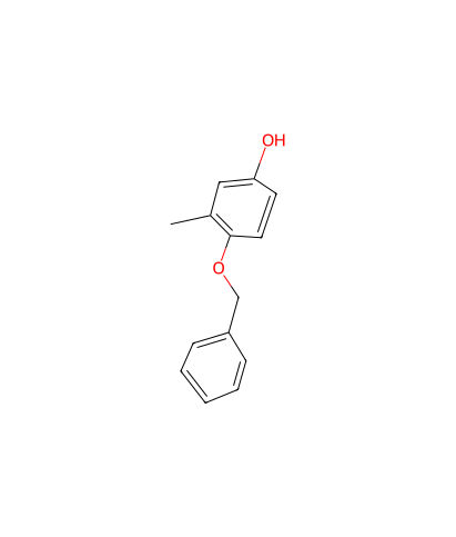 Cc1cc(O)ccc1OCc1ccccc1